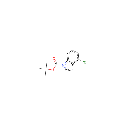 CC(C)(C)OC(=O)n1ccc2c(Cl)cccc21